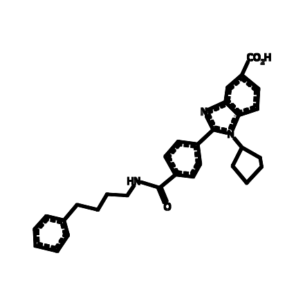 O=C(O)c1ccc2c(c1)nc(-c1ccc(C(=O)NCCCCc3ccccc3)cc1)n2C1CCCC1